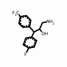 NCC(O)C(c1ccc(F)cc1)c1ccc(C(F)(F)F)cc1